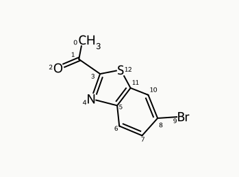 CC(=O)c1nc2ccc(Br)cc2s1